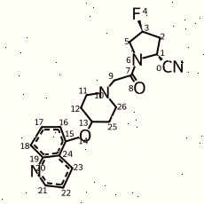 N#C[C@@H]1C[C@H](F)CN1C(=O)CN1CCC(Oc2cccc3ncccc23)CC1